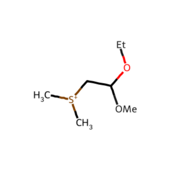 CCOC(C[S+](C)C)OC